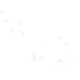 COc1c(NC(=O)Nc2ccc(Oc3ncnc(NC(C)c4ccccc4)n3)c3ccccc23)cc(C(C)(C)C)cc1NS(C)(=O)=O